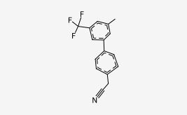 Cc1cc(-c2ccc(CC#N)cc2)cc(C(F)(F)F)c1